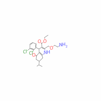 CCOC(=O)C1=C(COCCN)NC2=C(C(=O)CC(C(C)C)C2)C1c1cccc(Cl)c1Cl